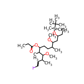 CCC(=O)OC(CCC(C)C(CC(CC)O[Si](C)(C)C(C)(C)C)OC)C(C)C(OC)C(C)C=CI